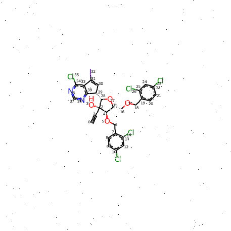 C#C[C@@]1(O)[C@H](OCc2ccc(Cl)cc2Cl)[C@@H](COCc2ccc(Cl)cc2Cl)O[C@H]1C1C=C(I)c2c(Cl)ncnc21